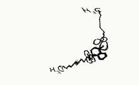 CCCCCCCCCCCOC(=O)Oc1ccc(OC(=O)OCCCCCCCCCCC)c2ccccc12